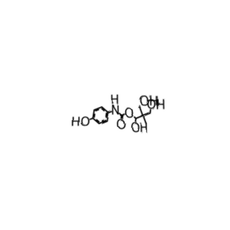 CC(CO)(CO)C(O)OC(=O)Nc1ccc(O)cc1